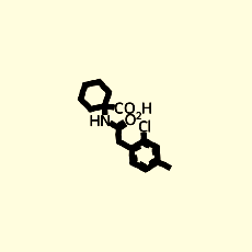 Cc1ccc(CC(=O)NC2(C(=O)O)CCCCC2)c(Cl)c1